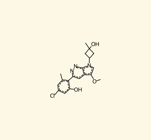 COc1cn(C2CC(C)(O)C2)c2nnc(-c3c(C)cc(Cl)cc3O)cc12